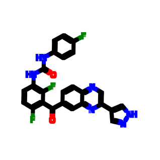 O=C(Nc1ccc(F)cc1)Nc1ccc(F)c(C(=O)c2ccc3ncc(-c4cn[nH]c4)nc3c2)c1F